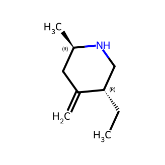 C=C1C[C@@H](C)NC[C@@H]1CC